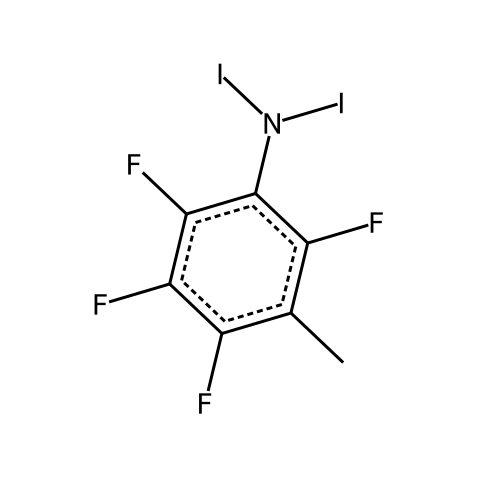 Cc1c(F)c(F)c(F)c(N(I)I)c1F